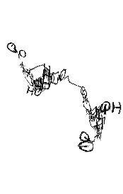 COC(=O)CC[C@@H](C)[C@H]1CC[C@H]2[C@@H]3[C@H](O)CC4C[C@H](OCCCCCO[C@@H]5CC[C@@]6(C)C(C5)C[C@H](O)[C@H]5[C@@H]7CC[C@H]([C@H](C)CCC(=O)OC)[C@@]7(C)CC[C@@H]56)CC[C@]4(C)[C@@H]3CC[C@]12C